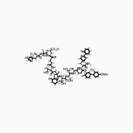 CCc1cc(OC)ccc1-c1ccc(C[C@H](CC(=O)[C@H](CC(=O)O)NC(=O)[C@H](CO)CC(=O)[C@@H](NC(=O)C(C)(CC(=O)[C@@H](NC(=O)CCC(=O)[C@H](CCC(=O)O)NC(=O)C(C)(C)CC(=O)[C@@H](N)Cc2c[nH]cn2)C(C)O)Cc2ccccc2F)C(C)O)C(=O)N[C@@H](Cc2ccc(-c3ccccc3C)nc2)C(N)=O)cc1